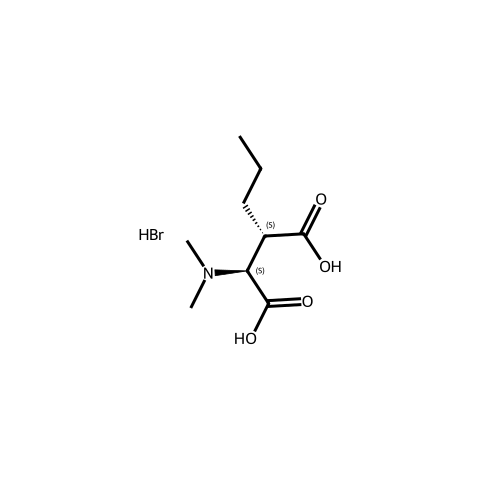 Br.CCC[C@H](C(=O)O)[C@@H](C(=O)O)N(C)C